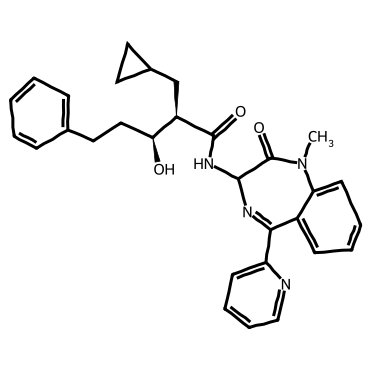 CN1C(=O)C(NC(=O)[C@H](CC2CC2)[C@@H](O)CCc2ccccc2)N=C(c2ccccn2)c2ccccc21